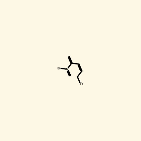 C=C(/C=C\CC(C)C)[N+](=C)CC